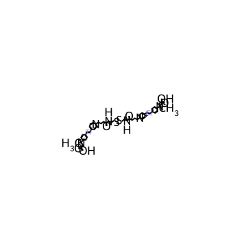 CN(CC(=O)O)c1ccc(/C=C/C2=CC=CN(CCCC(=O)NCCSSCCNC(=O)CCC[n+]3ccc(/C=C/c4ccc(N(C)CC(=O)O)cc4)cc3)C=C2)cc1